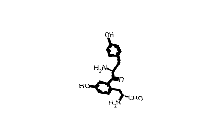 N[C@H](C=O)Cc1ccc(O)cc1C(=O)[C@@H](N)Cc1ccc(O)cc1